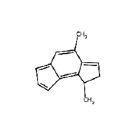 Cc1cc2c(c3c1=CCC3C)C=CC=2